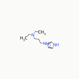 CCN(CC)CCCN.c1cc[nH]c1